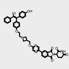 CC/C(=C(\c1ccc(O)cc1)c1ccc(OCCN2CC(COc3cnc(-c4ccc5c(c4)C(=O)N(C4CCC(=O)NC4=O)C5=O)cn3)C2)cc1)c1ccccc1